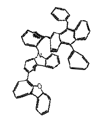 c1ccc(-c2c3ccccc3c(-c3ccccc3)c3cc(-c4ccccc4-n4c5ccccc5c5cc(-c6cccc7c6oc6ccccc67)ccc54)ccc23)cc1